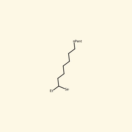 CCCCCCCCCCCC([Se])CC